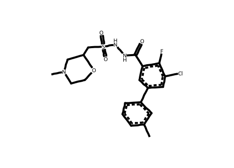 Cc1cccc(-c2cc(Cl)c(F)c(C(=O)NNS(=O)(=O)CC3CN(C)CCO3)c2)c1